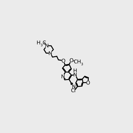 COc1cc2c(Nc3cc(Cl)cc4occc34)c(C#N)cnc2cc1OCCCN1CCN(C)CC1